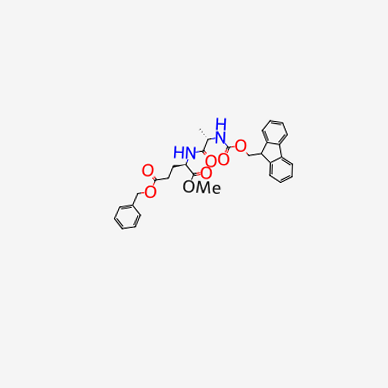 COC(=O)[C@@H](CCC(=O)OCc1ccccc1)NC(=O)[C@H](C)NC(=O)OCC1c2ccccc2-c2ccccc21